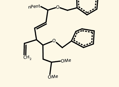 C=CC(C=CC(CCCCC)OCc1ccccc1)C(CC(OC)OC)OCc1ccccc1